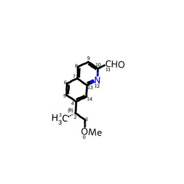 COC[C@H](C)c1ccc2ccc(C=O)nc2c1